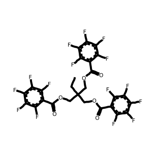 CCC(COC(=O)c1c(F)c(F)c(F)c(F)c1F)(COC(=O)c1c(F)c(F)c(F)c(F)c1F)COC(=O)c1c(F)c(F)c(F)c(F)c1F